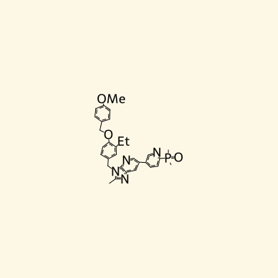 CCc1cc(Cn2c(C)nc3cc(-c4ccc(P(C)(C)=O)nc4)cnc32)ccc1OCc1ccc(OC)cc1